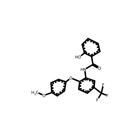 COc1ccc(Oc2ccc(C(F)(F)F)cc2NC(=O)c2c[c]ccc2O)cc1